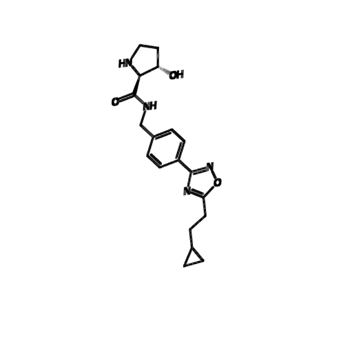 O=C(NCc1ccc(-c2noc(CCC3CC3)n2)cc1)[C@H]1NCC[C@@H]1O